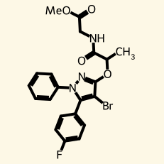 COC(=O)CNC(=O)C(C)Oc1nn(-c2ccccc2)c(-c2ccc(F)cc2)c1Br